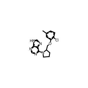 Cc1ccc(Cl)c(OCC2CCCN2c2ncnc3[nH]cnc23)c1